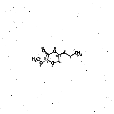 CCC[C@H]1CO[C@H](OC)C(=O)O1